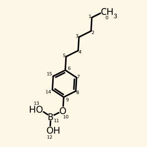 CCCCCCc1ccc(OB(O)O)cc1